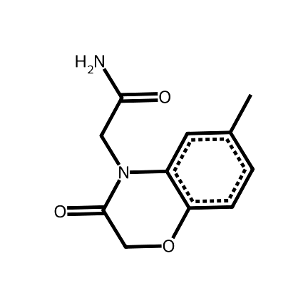 Cc1ccc2c(c1)N(CC(N)=O)C(=O)CO2